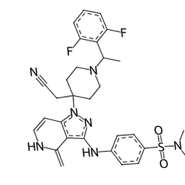 C=C1NC=Cc2c1c(Nc1ccc(S(=O)(=O)N(C)C)cc1)nn2C1(CC#N)CCN(C(C)c2c(F)cccc2F)CC1